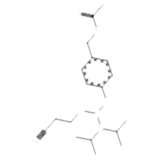 CC(=O)NCc1ccc(OP(OCCC#N)N(C(C)C)C(C)C)cc1